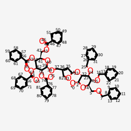 CO[C@@H]1O[C@H](COCc2ccccc2)[C@@H](OCc2ccccc2)[C@H](OCc2ccccc2)[C@H]1O[C@@H]1C=C(CO[C@@H]2O[C@H](COC(=O)c3ccccc3)[C@@H](OC(=O)c3ccccc3)[C@H](OC(=O)c3ccccc3)[C@H]2OC(=O)c2ccccc2)CO1